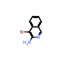 Nc1ncc2ccccc2c1Br